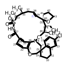 CC[C@@H]1[C@@H](C)CN2C[C@@]3(CCCc4cc(Cl)ccc43)COc3ccc(cc32)C(=O)NS(=O)(=O)[C@H](C)[C@@H](C)C/C=C/[C@]12CCCO2